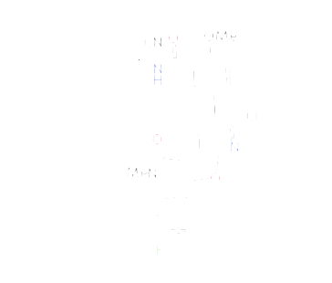 CNC(=O)c1c(-c2ccc(F)cc2)oc2nc(Cl)c(-c3ccc(OC)c(C(=O)NC4(C#N)CCC4)c3)cc12